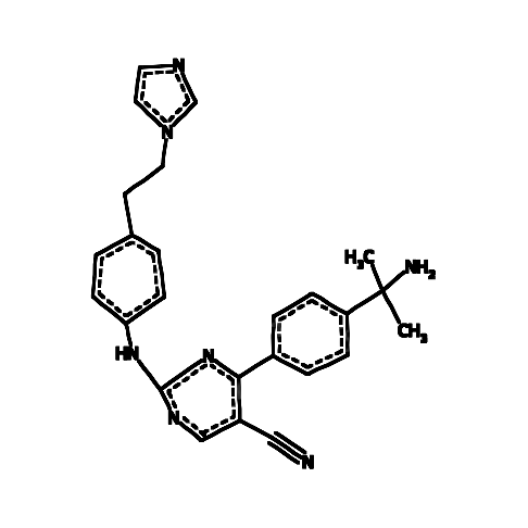 CC(C)(N)c1ccc(-c2nc(Nc3ccc(CCn4ccnc4)cc3)ncc2C#N)cc1